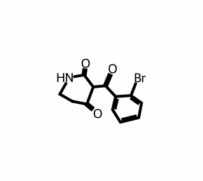 O=C1CCNC(=O)C1C(=O)c1ccccc1Br